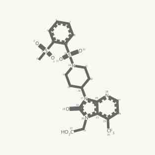 CS(=O)(=O)c1ccccc1S(=O)(=O)N1CCC(n2c(=O)n(CC(=O)O)c3c(C(F)(F)F)ccnc32)CC1